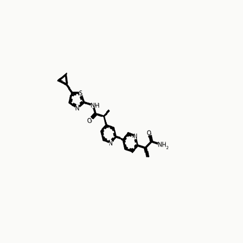 C=C(C(N)=O)c1ccc(-c2cc(C(C)C(=O)Nc3ncc(C4CC4)s3)ccn2)cn1